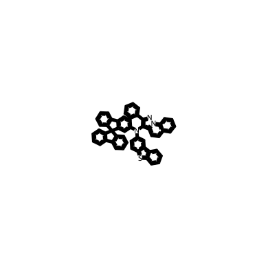 c1ccc(-c2nn3c(ccc4ccccc43)c2N(c2ccc3c(c2)C2(c4ccccc4-c4ccccc42)c2ccccc2-3)c2ccc3sc4ccccc4c3c2)cc1